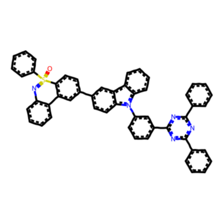 O=S1(c2ccccc2)=Nc2ccccc2-c2cc(-c3ccc4c(c3)c3ccccc3n4-c3cccc(-c4nc(-c5ccccc5)nc(-c5ccccc5)n4)c3)ccc21